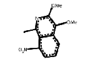 COc1nc(C)c2c([N+](=O)[O-])cccc2c1OC